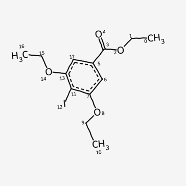 CCOC(=O)c1cc(OCC)c(I)c(OCC)c1